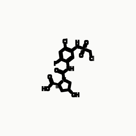 O=C(O)[C@@H]1CC(O)CN1C(=O)Nc1cc(NS(=O)(=O)CCl)c(Cl)cc1F